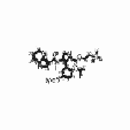 CSc1ccc(OC(F)F)c(-c2c(NC(=O)c3cnn4cccnc34)cnn2COCC[Si](C)(C)C)c1